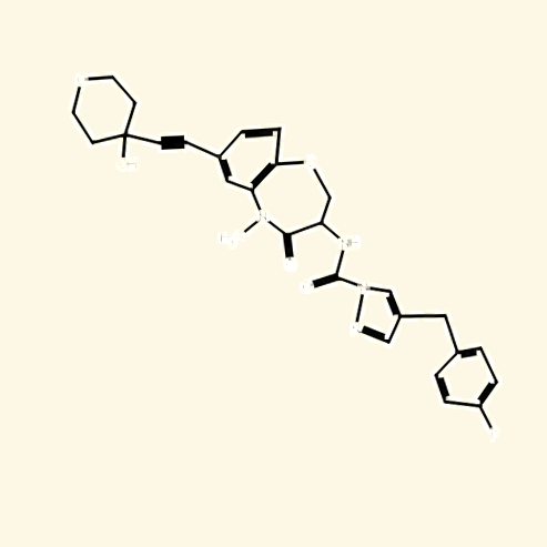 CN1C(=O)C(NC(=O)n2cc(Cc3ccc(F)cc3)cn2)COc2ccc(C#CC3(O)CCOCC3)cc21